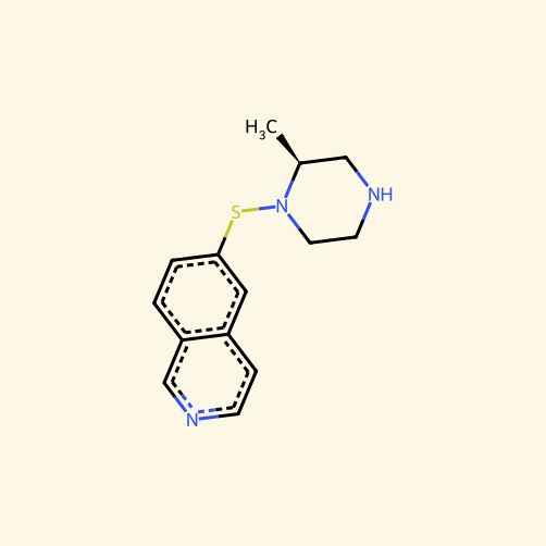 C[C@H]1CNCCN1Sc1ccc2cnccc2c1